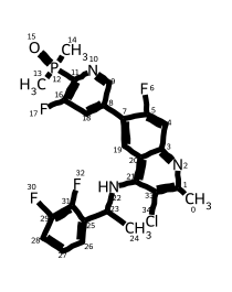 Cc1nc2cc(F)c(-c3cnc(P(C)(C)=O)c(F)c3)cc2c(NC(C)c2cccc(F)c2F)c1Cl